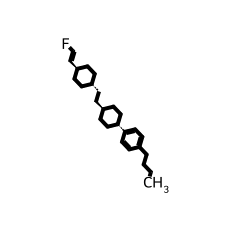 CCCCc1ccc([C@H]2CC[C@H](CC[C@H]3CC[C@H](C=CF)CC3)CC2)cc1